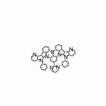 c1ccc(-n2c3cccnc3c3c4cccc5c4n(c32)-c2cc(-c3ncccn3)cc3c2B5c2cccc4c5c6ncccc6n(-c6ccccc6)c5n-3c24)cc1